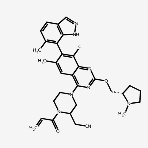 C=CC(=O)N1CCN(c2nc(OC[C@@H]3CCCN3C)nc3c(F)c(-c4c(C)ccc5cn[nH]c45)c(C)cc23)CC1CC#N